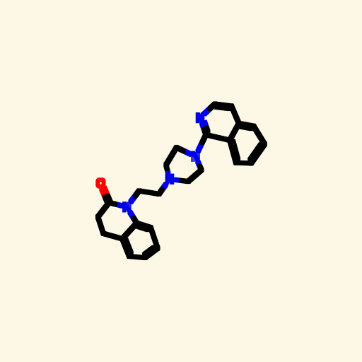 O=C1CCc2ccccc2N1CCN1CCN(c2nccc3ccccc23)CC1